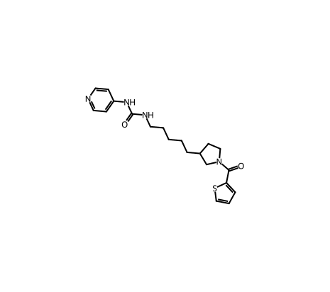 O=C(NCCCCCC1CCN(C(=O)c2cccs2)C1)Nc1ccncc1